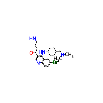 CN(C)C[C@H]1CC[C@H](Nc2c(C(=O)CCC=N)cnc3ccc(Br)cc23)CC1